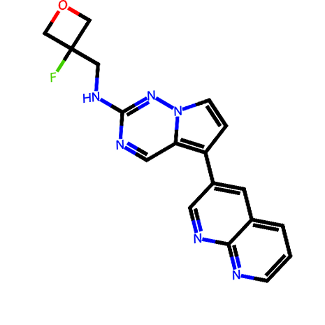 FC1(CNc2ncc3c(-c4cnc5ncccc5c4)ccn3n2)COC1